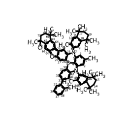 Cc1cc2c3c(c1)N(c1cc4c(cc1C)C(C)(C)CCC4(C)C)c1cc4c(cc1B3c1ccc(-c3ccccc3C)cc1N2c1cc2c(cc1C)C(C)(C)CCC2(C)C)oc1cc2c(cc14)C(C)(C)CCC2(C)C